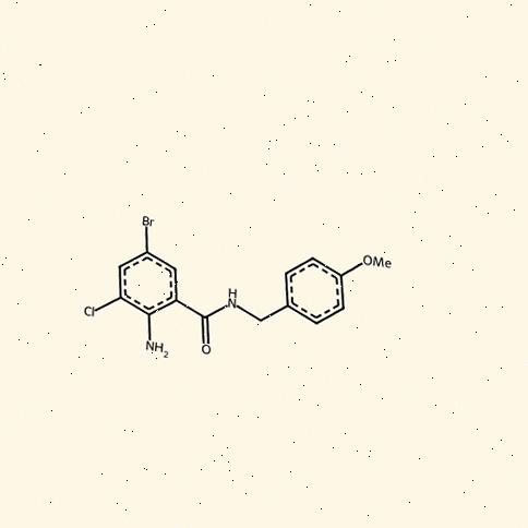 COc1ccc(CNC(=O)c2cc(Br)cc(Cl)c2N)cc1